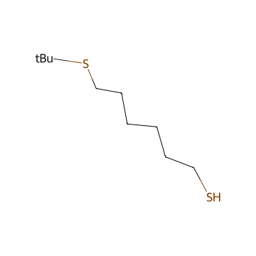 CC(C)(C)SCCCCCCS